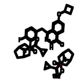 CC(C)(C)OC(=O)N1C2CCC1CN(C(=O)C1CC1)C2.O=C(C1CC1)N1CC2CCC(C1)N2C(=O)c1cc(Cc2n[nH]c(=O)c3ccc(OC4CCC4)cc23)ccc1F